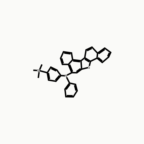 C[Si](C)(C)c1ccc(N(c2ccccc2)c2cc3sc4c5ccccc5ccc4c3c3ccccc23)cc1